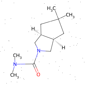 CN(C)C(=O)N1C[C@@H]2CC(C)(C)C[C@@H]2C1